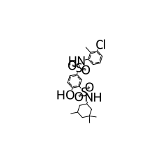 Cc1c(Cl)cccc1NS(=O)(=O)c1ccc(O)c(S(=O)(=O)NC2CC(C)CC(C)(C)C2)c1